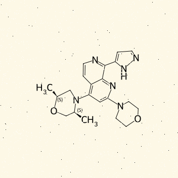 C[C@H]1CN(c2cc(N3CCOCC3)nc3c(-c4ccn[nH]4)nccc23)[C@@H](C)CO1